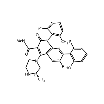 CNC(=O)c1c(N2CCN[C@H](C)C2)c2cc(F)c(-c3c(O)cccc3F)nc2n(-c2c(C)ccnc2C(C)C)c1=O